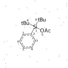 CC(=O)O[Si](c1ccccc1)(C(C)(C)C)C(C)(C)C